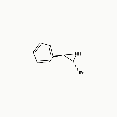 CC(C)[C@H]1N[C@@H]1c1ccccc1